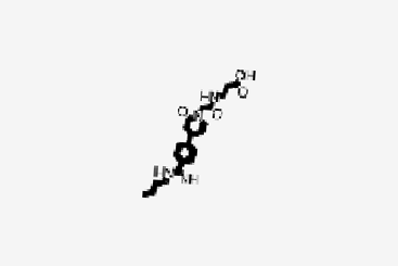 CCCCNC(=N)c1ccc(-c2ccn(CC(=O)NCCC(=O)O)c(=O)c2)cc1